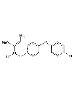 CCN(Cc1ccc(Oc2ccc(Cl)cc2)nc1)C(=C[N+](=O)[O-])NC